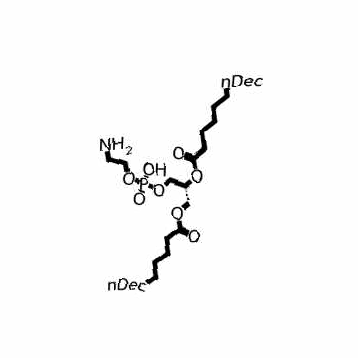 CCCCCCCCCCCCCCCC(=O)O[C@H](COC(=O)CCCCCCCCCCCCCC)COP(=O)(O)OCCN